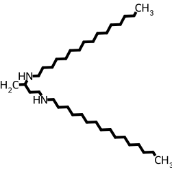 [CH2]C(CCNCCCCCCCCCCCCCCCC)NCCCCCCCCCCCCCCCC